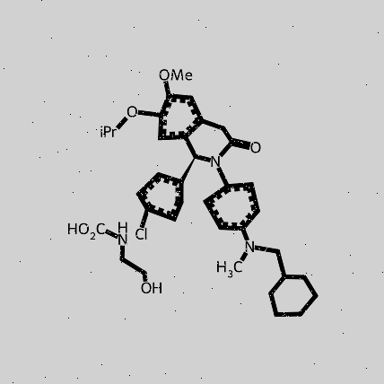 COc1cc2c(cc1OC(C)C)[C@H](c1ccc(Cl)cc1)N(c1ccc(N(C)CC3CCCCC3)cc1)C(=O)C2.O=C(O)NCCO